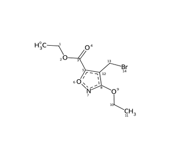 CCOC(=O)c1onc(OCC)c1CBr